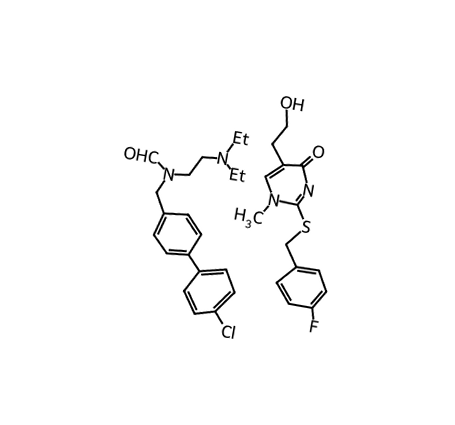 CCN(CC)CCN(C=O)Cc1ccc(-c2ccc(Cl)cc2)cc1.Cn1cc(CCO)c(=O)nc1SCc1ccc(F)cc1